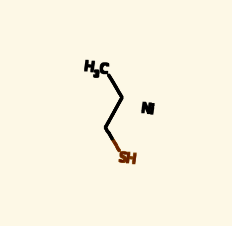 CCCS.[Ni]